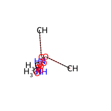 C#CC#CC#CC#CC#CC#CC#CC#CC#CC#CC#COc1cc(CNC(=O)CCC(=O)OC2CC(n3cc(C)c(=O)[nH]c3=O)OC2CC)cc(OC#CC#CC#CC#CC#CC#CC#CC#CC#CC#CC#C)c1